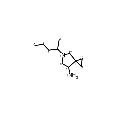 CCCC(C)N1CC(N)C2(CC2)C1